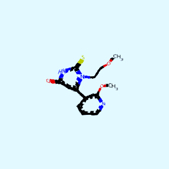 COCCn1c(-c2cccnc2OC)cc(=O)[nH]c1=S